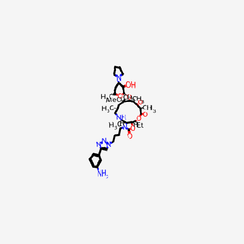 CC[C@H]1OC(=O)[C@H](C)C(=O)[C@H](C)[C@@H](O[C@@H]2OC(C)CC(N3CCCC3)C2O)[C@](C)(OC)C[C@@H](C)CN[C@H](C)[C@@H]2[C@@H]1OC(=O)N2CCCCn1cc(-c2cccc(N)c2)nn1